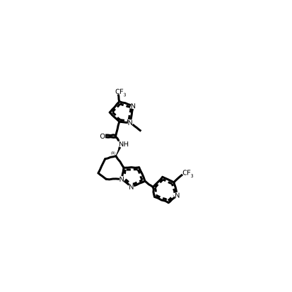 Cn1nc(C(F)(F)F)cc1C(=O)N[C@@H]1CCCn2nc(-c3ccnc(C(F)(F)F)c3)cc21